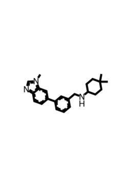 Cn1cnc2ccc(-c3cccc(CNC4CCC(C)(C)CC4)c3)cc21